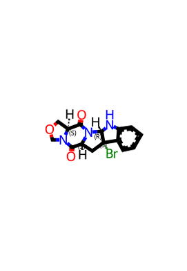 O=C1[C@@H]2C[C@]3(Br)c4ccccc4N[C@@H]3N2C(=O)[C@@H]2COCN12